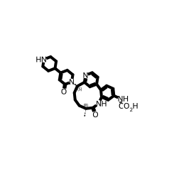 C[C@@H]1CCC[C@H](N2CCC(C3CCNCC3)=CC2=O)c2cc(ccn2)-c2ccc(NC(=O)O)cc2NC1=O